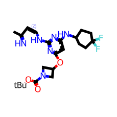 CC(=N)/C=C\Nc1nc(NC2CCC(F)(F)CC2)cc(OC2CN(C(=O)OC(C)(C)C)C2)n1